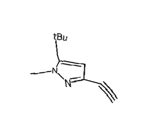 C#Cc1cc(C(C)(C)C)n(C)n1